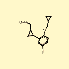 CNCC1CC1c1cc(F)ccc1OCC1CC1